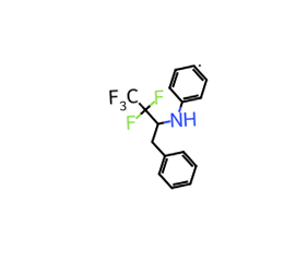 FC(F)(F)C(F)(F)C(Cc1ccccc1)Nc1cc[c]cc1